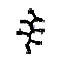 O=CC(O)C(O)/C(O)=C(\O)C(=O)O